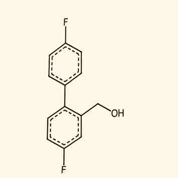 OCc1cc(F)ccc1-c1ccc(F)cc1